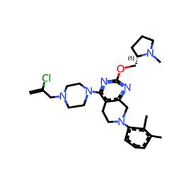 C=C(Cl)CN1CCN(c2nc(OC[C@@H]3CCCN3C)nc3c2CCN(c2cccc(C)c2C)C3)CC1